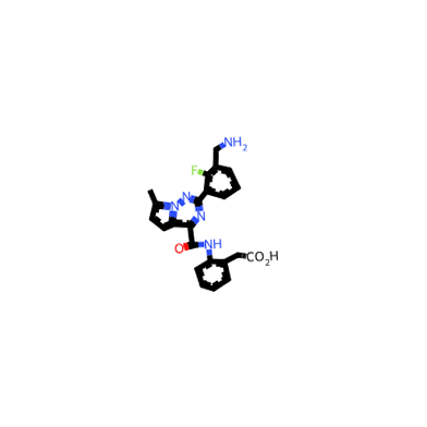 Cc1ccc2c(C(=O)Nc3ccccc3CC(=O)O)nc(-c3cccc(CN)c3F)nn12